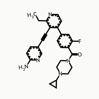 CCc1nccc(-c2ccc(C(=O)N3CCN(C4CC4)CC3)c(F)c2)c1C#Cc1ccc(N)nc1